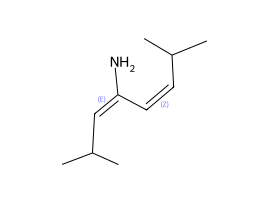 CC(C)/C=C\C(N)=C/C(C)C